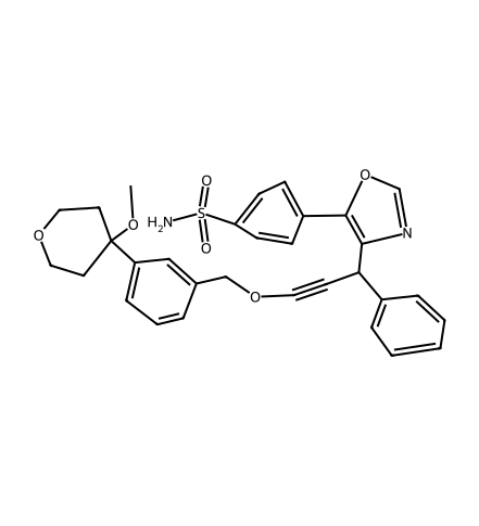 COC1(c2cccc(COC#CC(c3ccccc3)c3ncoc3-c3ccc(S(N)(=O)=O)cc3)c2)CCOCC1